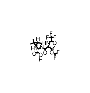 C[C@@H](OC(F)F)[C@H](NC(=O)C(F)(F)F)C(=O)N1C[C@H]2[C@@H]([C@H]1C(=O)O)C2(C)C